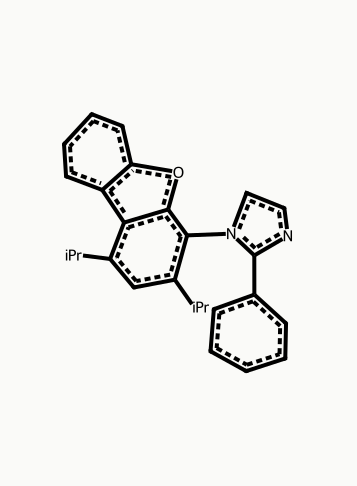 CC(C)c1cc(C(C)C)c2c(oc3ccccc32)c1-n1ccnc1-c1ccccc1